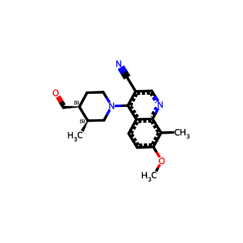 COc1ccc2c(N3CC[C@H](C=O)[C@H](C)C3)c(C#N)cnc2c1C